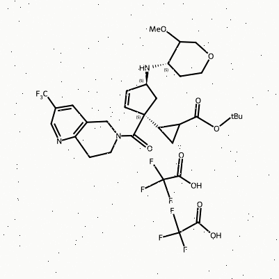 COC1COCC[C@@H]1N[C@@H]1C=C[C@@](C(=O)N2CCc3ncc(C(F)(F)F)cc3C2)(C2CC2C(=O)OC(C)(C)C)C1.O=C(O)C(F)(F)F.O=C(O)C(F)(F)F